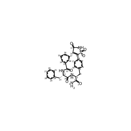 NC(=O)[C@H](Cc1ccc(C2=CC(=O)NS2(=O)=O)cc1)NC(=O)[C@H](Cc1ccccc1)NC(=O)c1ccccc1